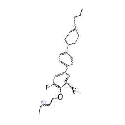 C/C=C/COc1c(F)cc(-c2ccc(C3CCC(CCC)CC3)cc2)cc1F